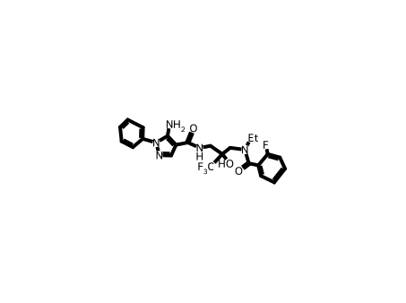 CCN(CC(O)(CNC(=O)c1cnn(-c2ccccc2)c1N)C(F)(F)F)C(=O)c1ccccc1F